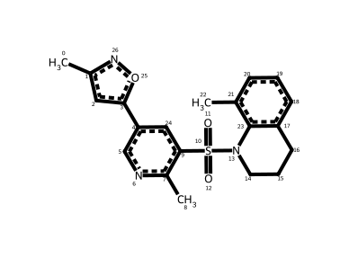 Cc1cc(-c2cnc(C)c(S(=O)(=O)N3CCCc4cccc(C)c43)c2)on1